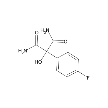 NC(=O)C(O)(C(N)=O)c1ccc(F)cc1